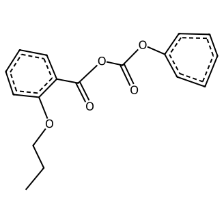 CCCOc1ccccc1C(=O)OC(=O)Oc1ccccc1